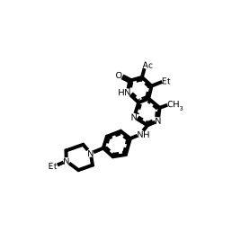 CCc1c(C(C)=O)c(=O)[nH]c2nc(Nc3ccc(N4CCN(CC)CC4)cc3)nc(C)c12